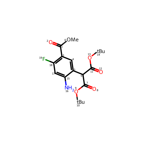 COC(=O)c1cc(C(C(=O)OC(C)(C)C)C(=O)OC(C)(C)C)c(N)cc1F